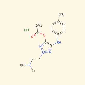 CCN(CC)CCn1nc(Nc2ccc([N+](=O)[O-])cc2)c(OC(=O)OC)n1.Cl